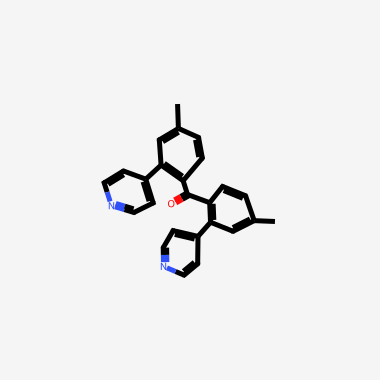 Cc1ccc(C(=O)c2ccc(C)cc2-c2ccncc2)c(-c2ccncc2)c1